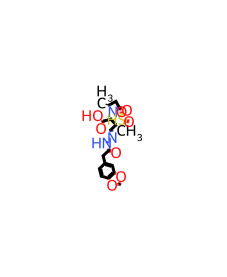 C[C@@H]1CC(=O)N1[C@@H](C(=O)O)[C@](C)(/C=N/NC(=O)Cc1ccc2c(c1)OCO2)[SH](=O)=O